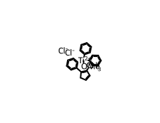 C[O][Ti+2]([c]1ccccc1)([c]1ccccc1)[c]1ccccc1C1=C(C)C=CC1.[Cl-].[Cl-]